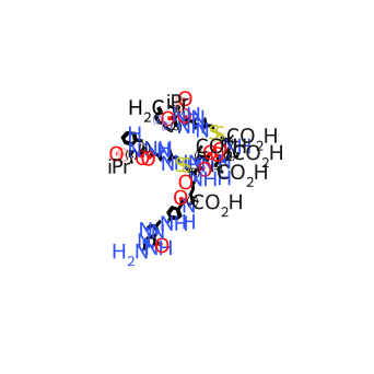 C=C/C=C\C=C\C[C@H](NC(=O)c1cnc(CSSC[C@H](NC(=O)[C@H](CC(=O)O)NC(=O)[C@H](CC(=O)O)NC(=O)[C@H](CC(=O)O)NC(=O)[C@H](CSSCc2cnc(C(=O)N[C@@H](Cc3ccccc3)C(=O)N[C@H](B=O)CC(C)C)cn2)NC(=O)CC[C@H](NC(=O)c2ccc(NCc3cnc4nc(N)[nH]c(=O)c4n3)cc2)C(=O)O)C(=O)O)cn1)C(=O)N[C@H](B=O)CC(C)C